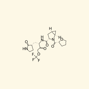 O=C1NCC[C@H]1C[C@H](NC(=O)[C@@H]1C[C@H]2C[C@H]2N1C(=O)[C@H]1CCCO1)C(=O)COC(F)(F)F